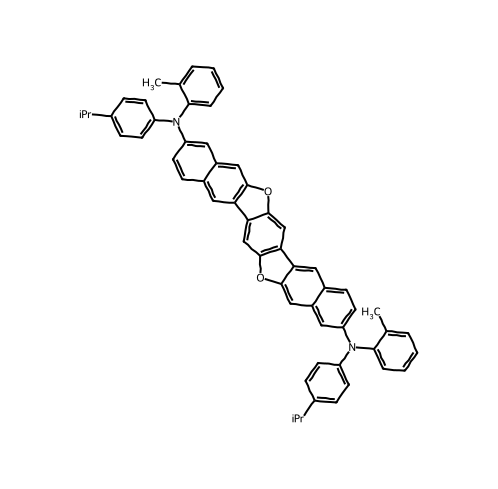 Cc1ccccc1N(c1ccc(C(C)C)cc1)c1ccc2cc3c(cc2c1)oc1cc2c(cc13)oc1cc3cc(N(c4ccc(C(C)C)cc4)c4ccccc4C)ccc3cc12